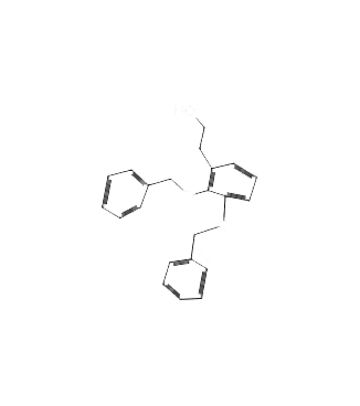 OCCc1cccc(OCc2ccccc2)c1OCc1ccccc1